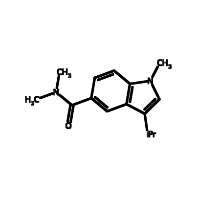 CC(C)c1cn(C)c2ccc(C(=O)N(C)C)cc12